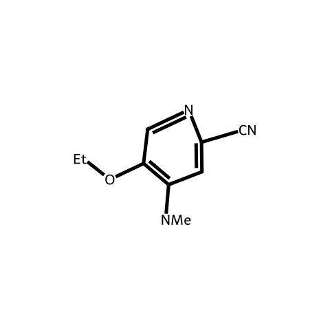 CCOc1cnc(C#N)cc1NC